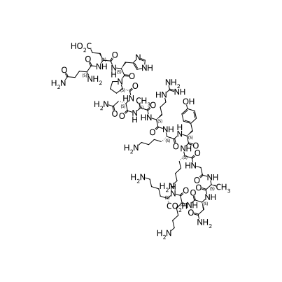 C[C@H](NC(=O)CNC(=O)[C@H](CCCCN)NC(=O)[C@H](Cc1ccc(O)cc1)NC(=O)[C@H](CCCCN)NC(=O)[C@H](CCCNC(=N)N)NC(=O)[C@H](C)NC(=O)[C@H](CC(N)=O)NC(=O)[C@@H]1CCCN1C(=O)[C@H](Cc1c[nH]cn1)NC(=O)[C@H](CCC(=O)O)NC(=O)[C@@H](N)CCC(N)=O)C(=O)N[C@@H](CC(N)=O)C(=O)N[C@@H](CCCCN)C(=O)N[C@@H](CCCCN)C(=O)O